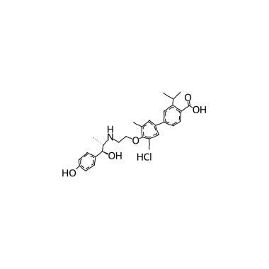 Cc1cc(-c2ccc(C(=O)O)c(C(C)C)c2)cc(C)c1OCCN[C@@H](C)[C@@H](O)c1ccc(O)cc1.Cl